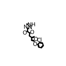 O=C(Cc1coc(Oc2ccccc2Cl)c1)C(=O)c1nc[nH]n1